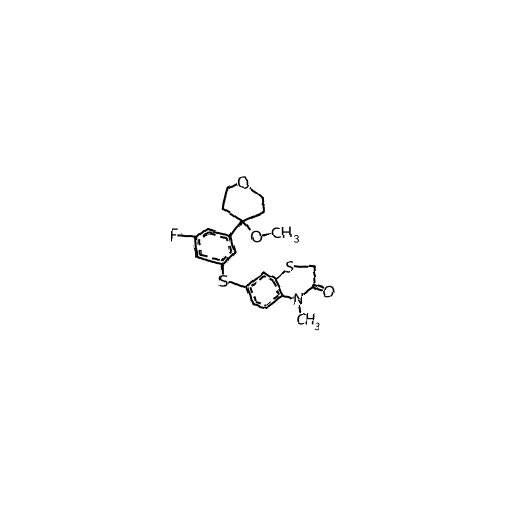 COC1(c2cc(F)cc(Sc3ccc4c(c3)SCC(=O)N4C)c2)CCOCC1